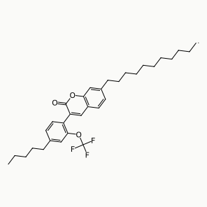 [CH2]CCCCCCCCCCc1ccc2cc(-c3ccc(CCCCC)cc3OC(F)(F)F)c(=O)oc2c1